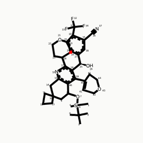 CC(C)(C)[Si](C)(C)OC1CC2(CCC2)Cc2nc(C3CCOCC3)c([C@H](O)c3ccc(C(F)(F)F)c(C#N)c3)c(C3=CCOCC3)c21